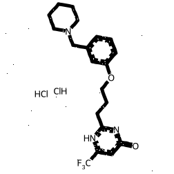 Cl.Cl.O=c1cc(C(F)(F)F)[nH]c(CCCOc2cccc(CN3CCCCC3)c2)n1